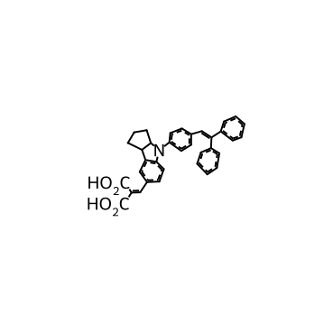 O=C(O)C(=Cc1ccc2c(c1)C1CCCC1N2c1ccc(C=C(c2ccccc2)c2ccccc2)cc1)C(=O)O